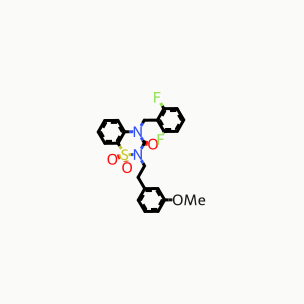 COc1cccc(CCN2C(=O)N(Cc3c(F)cccc3F)c3ccccc3S2(=O)=O)c1